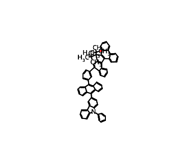 CC(C)(C)C1(C(C)(C)C)c2cc(-c3cccc(-c4c5ccccc5c(-c5ccc6c(c5)c5ccccc5n6-c5ccccc5)c5ccccc45)c3)c3ccccc3c2-c2c1c1ccccc1c1ccccc21